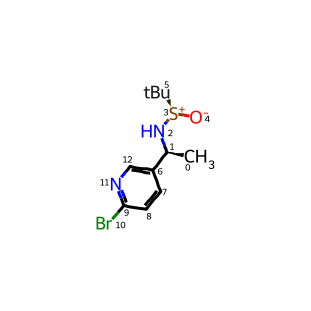 C[C@H](N[S@+]([O-])C(C)(C)C)c1ccc(Br)nc1